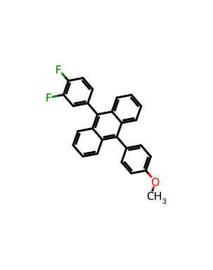 COc1ccc(-c2c3ccccc3c(-c3ccc(F)c(F)c3)c3ccccc23)cc1